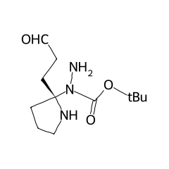 CC(C)(C)OC(=O)N(N)[C@@]1(CCC=O)CCCN1